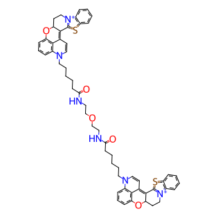 O=C(CCCCCN1C=CC2=C3c4sc5ccccc5[n+]4CCC3Oc3cccc1c32)NCCOCCNC(=O)CCCCCN1C=CC2=C3c4sc5ccccc5[n+]4CCC3Oc3cccc1c32